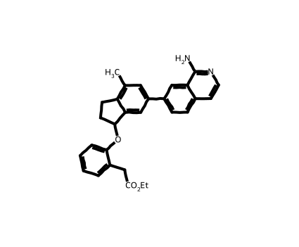 CCOC(=O)Cc1ccccc1OC1CCc2c(C)cc(-c3ccc4ccnc(N)c4c3)cc21